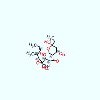 C/C=C\[C@H](C)[C@H]1O[C@]1(C)[C@@H](O)[C@@H](CO)C(=O)[C@@H]1COC(O)(CC)C[C@@H]1O